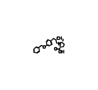 C[C@@H](Cc1ccc(OCc2ccccc2)cc1)CN1CCC[C@H]1C(=O)O